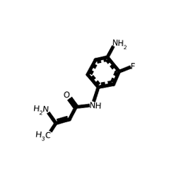 C/C(N)=C/C(=O)Nc1ccc(N)c(F)c1